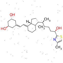 Cc1csc([C@H](O)CCC[C@H](C)[C@H]2CC[C@H]3/C(=C/C=C4C[C@@H](O)C[C@H](O)C4)CCC[C@]23C)n1